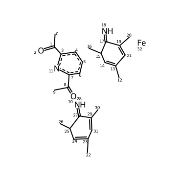 CC(=O)c1cccc(C(C)=O)n1.CC1=CC(C)C(=N)C(C)=C1.CC1=CC(C)C(=N)C(C)=C1.[Fe]